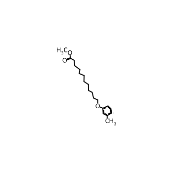 COC(=O)CCCCCCCCCCCOc1cc[c]c(C)c1